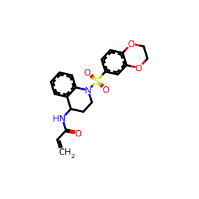 C=CC(=O)NC1CCN(S(=O)(=O)c2ccc3c(c2)OCCO3)c2ccccc21